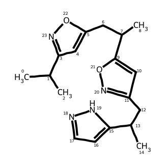 CC(C)c1cc(CC(C)c2cc(CC(C)c3ccn[nH]3)no2)on1